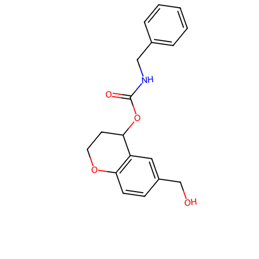 O=C(NCc1ccccc1)OC1CCOc2ccc(CO)cc21